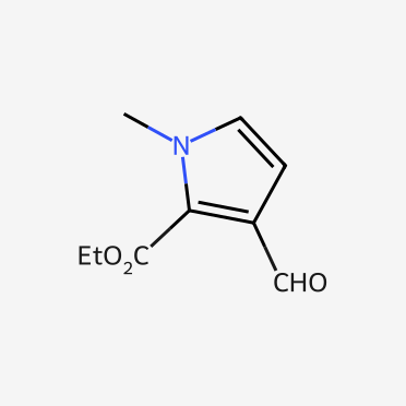 CCOC(=O)c1c(C=O)ccn1C